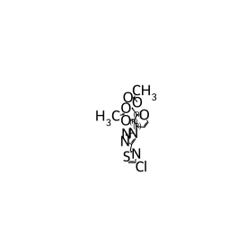 CC(=O)OC[C@H]1OC=C[C@@H](n2cc(-c3nc(Cl)cs3)nn2)[C@H]1OC(C)=O